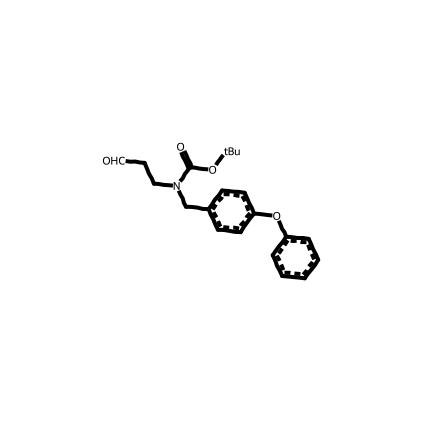 CC(C)(C)OC(=O)N(CCC=O)Cc1ccc(Oc2ccccc2)cc1